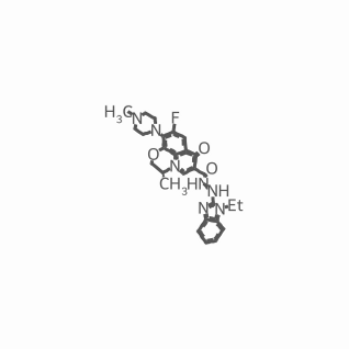 CCn1c(NNC(=O)c2cn3c4c(c(N5CCN(C)CC5)c(F)cc4c2=O)OC[C@@H]3C)nc2ccccc21